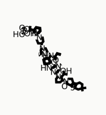 C=CC(=O)Nc1cc(Nc2nc(N3CCCC(N4CCc5c(sc6c5CCC(C)(C)C6)C4=O)C3C(C)O)cn(C)c2=O)ccc1N1CCN(C2CCN(c3cccc(C(C)(C)OP(=O)(O)O)n3)CC2)C[C@@H]1C